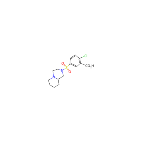 O=C(O)c1cc(S(=O)(=O)N2CCN3CCCCC3C2)ccc1Cl